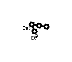 CCOc1ccc(-c2c(-c3ccc(-c4ccccc4)cc3)[c]ccc2OCC)cc1